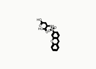 O=C(O)CC(NS(=O)(=O)c1ccc2c(c1)Oc1ccccc1C2)C(=O)O